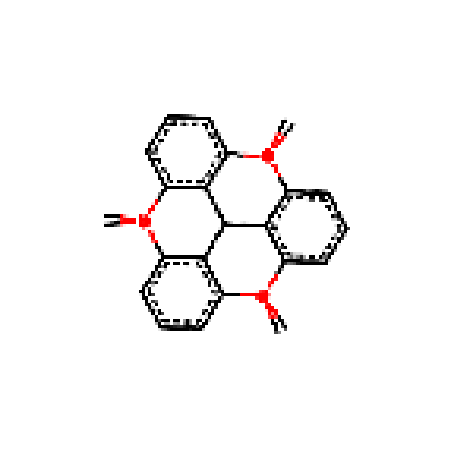 COc1cccc(OC)c1C(c1c(OC)cccc1OC)c1c(OC)cccc1OC